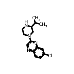 CC(C)C1CN(c2cnc3ccc(Cl)cc3n2)CCN1